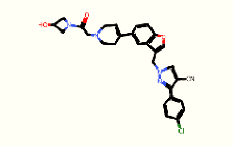 N#Cc1cn(Cc2coc3ccc(C4=CCN(CC(=O)N5CC(O)C5)CC4)cc23)nc1-c1ccc(Cl)cc1